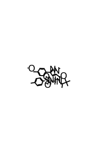 COCc1ccc(-c2nn(C)c(C(=O)NC(C)C(C)(C)C)c2NS(=O)(=O)c2ccc(C)cc2)cc1